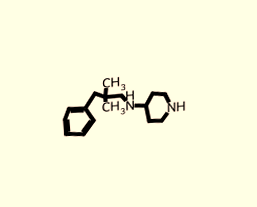 CC(C)(CNC1CCNCC1)Cc1ccccc1